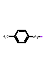 Cc1cc[c]([Mg][I])cc1